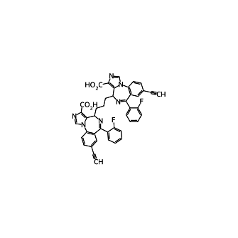 C#Cc1ccc2c(c1)C(c1ccccc1F)=NC(CCCC1N=C(c3ccccc3F)c3cc(C#C)ccc3-n3cnc(C(=O)O)c31)c1c(C(=O)O)ncn1-2